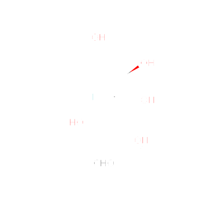 O=C[C@H](O)[C@@H](O)[C@@](O)(F)[C@H](O)CO